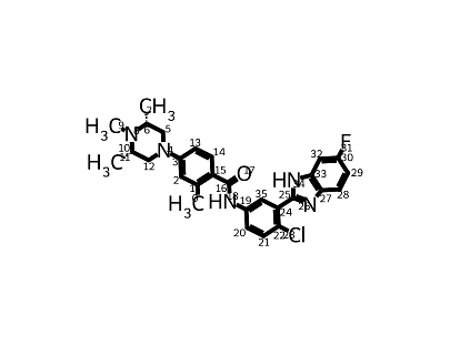 Cc1cc(N2C[C@@H](C)N(C)[C@@H](C)C2)ccc1C(=O)Nc1ccc(Cl)c(-c2nc3ccc(F)cc3[nH]2)c1